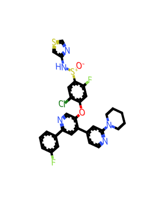 [O-][S+](Nc1cscn1)c1cc(Cl)c(Oc2cnc(-c3cccc(F)c3)cc2-c2ccnc(N3CCCCC3)c2)cc1F